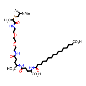 CNC(CSC(C)C(=O)NCCOCCOCCNC(=O)CCC(NC(=O)CCC(NC(=O)CCCCCCCCCCCCCCC(=O)O)C(=O)O)C(=O)O)C(C)=O